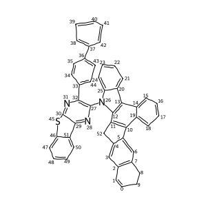 C1=Cc2cc3c(cc2CC1)-c1c(c2c(c4ccccc14)c1ccccc1n2-c1nc2c(nc1-c1ccc(-c4ccccc4)cc1)sc1ccccc12)C3